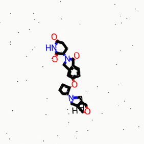 O=C1CCC(N2Cc3cc(O[C@H]4CCC[C@H]4N4C[C@H]5COC[C@H]5C4)ccc3C2=O)C(=O)N1